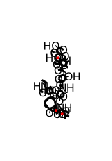 CCN[C@H]1CO[C@@H](O[C@H]2[C@H](O[C@H]3C#C/C=C\C#C[C@]4(O)CC(=O)C(NC(=O)OC)=C3/C4=C\CSSC(C)C)O[C@H](C)[C@@H](NO[C@H]3C[C@H](O)[C@H](SC(=O)c4c(C)c(I)c(O[C@@H]5O[C@@H](C)[C@H](O)[C@@H](OC)[C@H]5O)c(OC)c4OC)[C@@H](C)O3)[C@@H]2O)C[C@@H]1OC